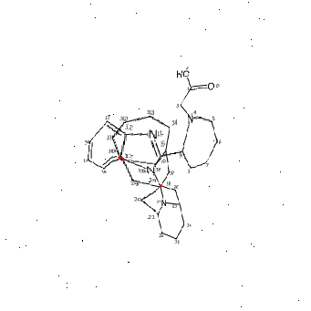 O=C(O)CN1CCCCC1c1nc2ccccc2n1C1CC2CCCC(C1)N2C1CC2CCCCC(C2)C1